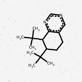 CC(C)(C)C1CCc2cncnc2C1C(C)(C)C